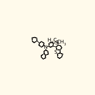 C[Si]1(C)c2ccc(N(c3ccc(-c4ccccc4)cc3)c3ccc4ccccc4c3)cc2-c2c1ccc1c2sc2ccccc21